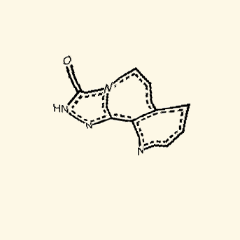 O=c1[nH]nc2c3ncccc3ccn12